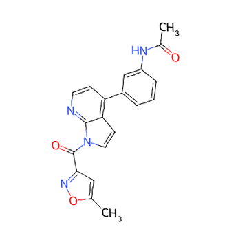 CC(=O)Nc1cccc(-c2ccnc3c2ccn3C(=O)c2cc(C)on2)c1